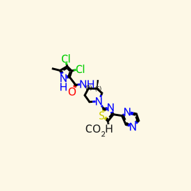 Cc1[nH]c(C(=O)N[C@@H]2CCN(c3nc(-c4cnccn4)c(C(=O)O)s3)C[C@@H]2C)c(Cl)c1Cl